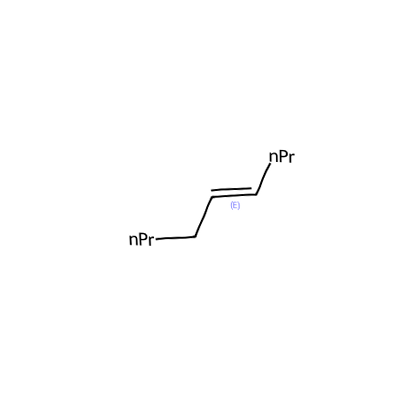 [CH2]CC/C=C/CCCC